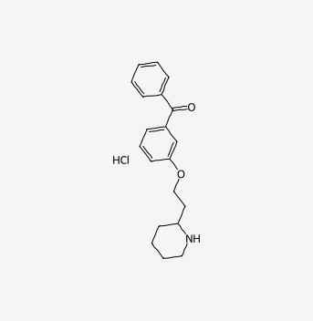 Cl.O=C(c1ccccc1)c1cccc(OCCC2CCCCN2)c1